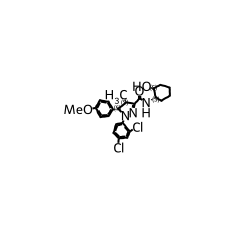 COc1ccc([C@@H]2[C@H](C)C(C(=O)N[C@H]3CCCC[C@@H]3O)=NN2c2ccc(Cl)cc2Cl)cc1